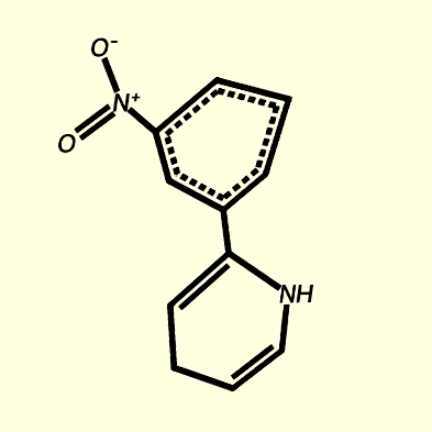 O=[N+]([O-])c1cccc(C2=CCC=CN2)c1